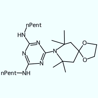 CCCCCNc1nc(NCCCCC)nc(N2C(C)(C)CC3(CC2(C)C)OCCO3)n1